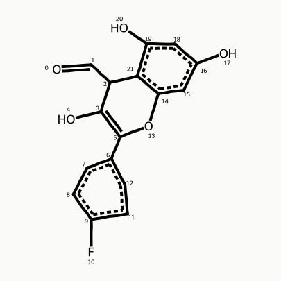 O=CC1C(O)=C(c2ccc(F)cc2)Oc2cc(O)cc(O)c21